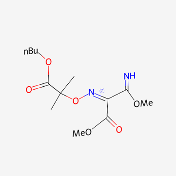 CCCCOC(=O)C(C)(C)O/N=C(/C(=N)OC)C(=O)OC